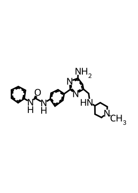 CN1CCC(NCc2cc(N)nc(-c3ccc(NC(=O)Nc4ccccc4)cc3)n2)CC1